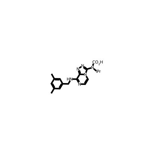 Cc1cc(C)cc(CNc2nccn3c(N(C(=O)O)C(C)C)nnc23)c1